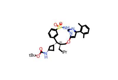 Cc1cccc(C)c1-c1cc2nc(n1)NS(=O)(=O)c1cccc(c1)C([C@H]1C[C@@H](NC(=O)OC(C)(C)C)C1)[C@H](CC(C)C)CO2